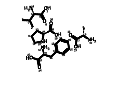 CC(C)[C@H](N)C(=O)O.C[C@H](N)C(=O)O.N[C@@H](Cc1ccccc1)C(=O)O.O=C(O)[C@@H]1CCCN1